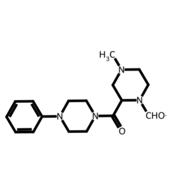 CN1CCN([C]=O)C(C(=O)N2CCN(c3ccccc3)CC2)C1